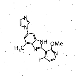 COc1nccc(I)c1-c1nc2c(C)cc(-n3ccnc3)cc2[nH]1